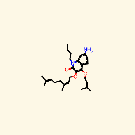 CCCCn1c(=O)c(OCC=C(C)CCC=C(C)C)c(OCC=C(C)C)c2ccc(N)cc21